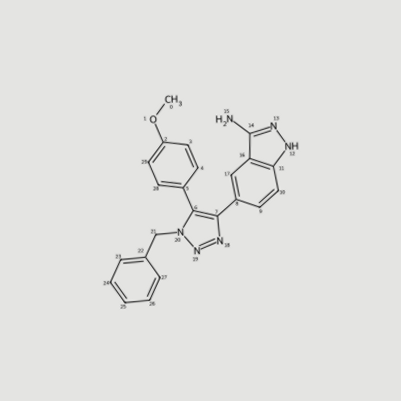 COc1ccc(-c2c(-c3ccc4[nH]nc(N)c4c3)nnn2Cc2ccccc2)cc1